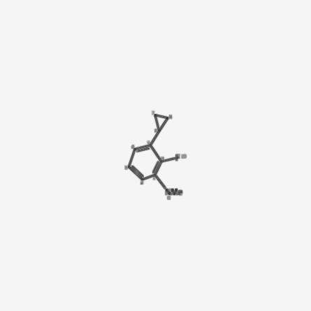 CNc1cccc(C2CC2)c1F